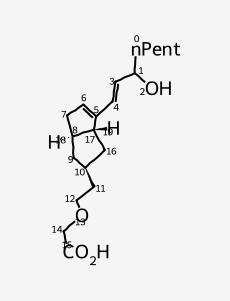 CCCCCC(O)C=CC1=CC[C@@H]2C[C@H](CCOCC(=O)O)C[C@@H]12